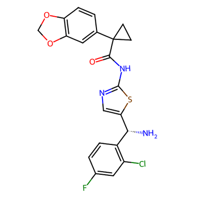 N[C@@H](c1cnc(NC(=O)C2(c3ccc4c(c3)OCO4)CC2)s1)c1ccc(F)cc1Cl